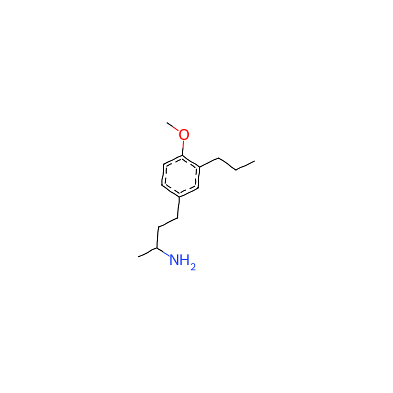 CCCc1cc(CCC(C)N)ccc1OC